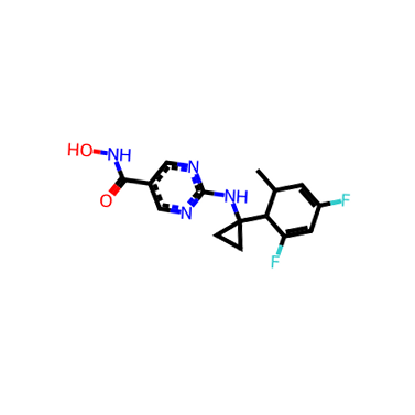 CC1C=C(F)C=C(F)C1C1(Nc2ncc(C(=O)NO)cn2)CC1